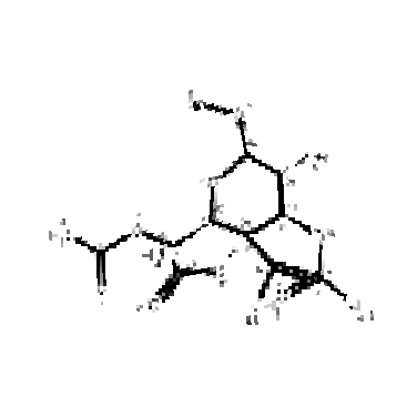 CC(=O)OC[C@H]1O[C@@H](OBr)[C@H](O)[C@@H](OC(C)=O)[C@@]1(OC(C)=O)C(C)=O